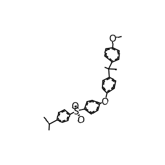 COc1ccc(C(C)(C)c2ccc(Oc3ccc(S(=O)(=O)c4ccc(C(C)C)cc4)cc3)cc2)cc1